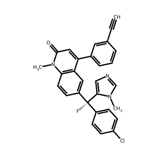 C#Cc1cccc(-c2cc(=O)n(C)c3ccc([C@](F)(c4ccc(Cl)cc4)c4cncn4C)cc23)c1